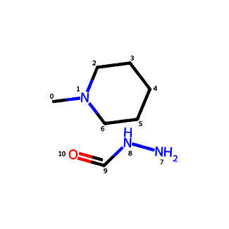 CN1CCCCC1.NNC=O